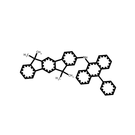 CC1(C)c2ccccc2-c2cc3c(cc21)-c1ccc(Nc2c4ccccc4c(-c4ccccc4)c4ccccc24)cc1C3(C)C